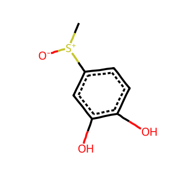 C[S+]([O-])c1ccc(O)c(O)c1